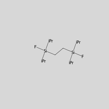 CC(C)[Si](F)(CC[Si](F)(C(C)C)C(C)C)C(C)C